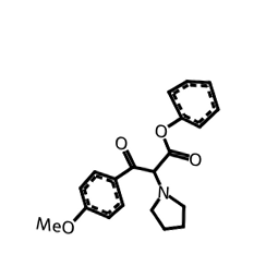 COc1ccc(C(=O)C(C(=O)Oc2ccccc2)N2CCCC2)cc1